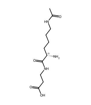 CC(=O)NCCCC[C@H](N)C(=O)NCCC(=O)O